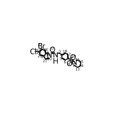 O=C(NCc1ccc(S(=O)(=O)N2CCCCC2)cc1)n1ccc2cc(Cl)c(Br)cc21